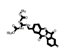 CC(C)(C)OC(=O)/N=C(\NCc1ccc2nc3n(c(=O)c2c1)-c1ccc(F)cc1C3=O)NC(=O)OC(C)(C)C